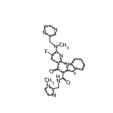 CN(Cc1cnccn1)c1nc2c(cc1F)c(=O)c(C(=O)NCc1nccn1C)c1sc3ccccc3n12